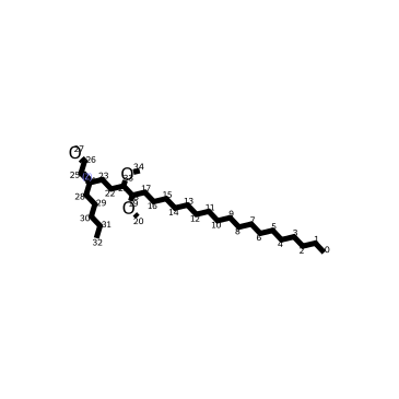 CCCCCCCCCCCCCCCCCCC(OC)C(CC/C(=C\C=O)CCCCC)OC